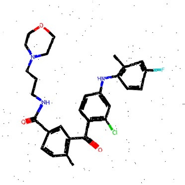 Cc1cc(F)ccc1Nc1ccc(C(=O)c2cc(C(=O)NCCCN3CCOCC3)ccc2C)c(Cl)c1